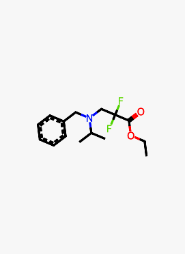 CCOC(=O)C(F)(F)CN(Cc1ccccc1)C(C)C